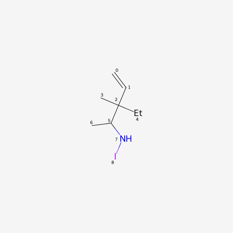 C=CC(C)(CC)C(C)NI